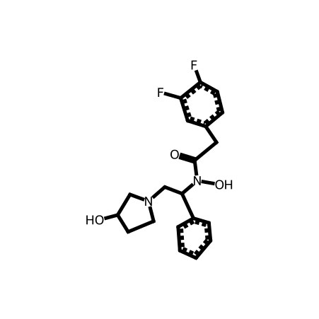 O=C(Cc1ccc(F)c(F)c1)N(O)C(CN1CCC(O)C1)c1ccccc1